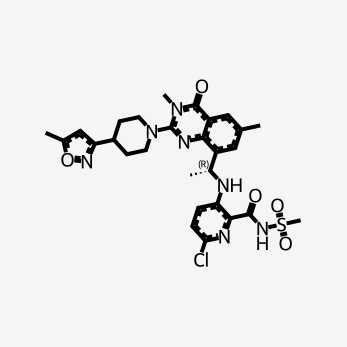 Cc1cc([C@@H](C)Nc2ccc(Cl)nc2C(=O)NS(C)(=O)=O)c2nc(N3CCC(c4cc(C)on4)CC3)n(C)c(=O)c2c1